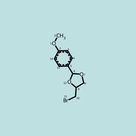 COc1ccc(C2OCC(CBr)O2)cc1